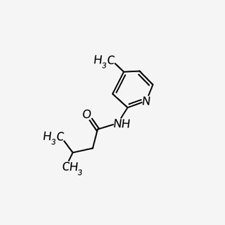 Cc1ccnc(NC(=O)CC(C)C)c1